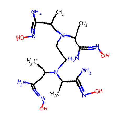 CC(C(N)=NO)N(CCN(C(C)C(N)=NO)C(C)C(N)=NO)C(C)C(N)=NO